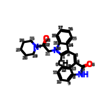 Cc1c(C=C2C(=O)Nc3ccccc32)c2ccccc2n1CC(=O)N1CCCCC1